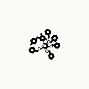 Cc1ccc(Cc2cc([C@@H]3S[C@H](COCc4ccccc4)[C@@H](OCc4ccccc4)[C@H](OCc4ccccc4)[C@H]3OCc3ccccc3)c(OCc3ccccc3)cc2C)cc1